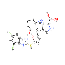 O=C1CCCC2=C1C(c1ccc(Sc3nc4c(F)cc(F)cc4[nH]3)o1)c1c[nH]c(C(=O)O)c1N2